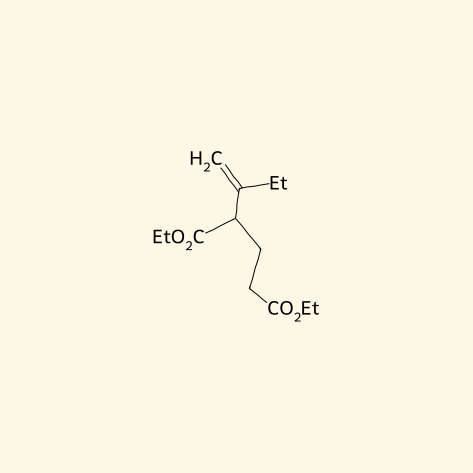 C=C(CC)C(CCC(=O)OCC)C(=O)OCC